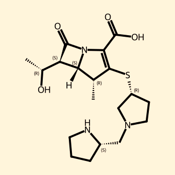 C[C@@H](O)[C@H]1C(=O)N2C(C(=O)O)=C(S[C@@H]3CCN(C[C@@H]4CCCN4)C3)[C@H](C)[C@H]12